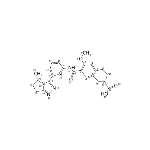 COc1cc2c(cc1C(=O)Nc1cccc(-c3nnc4n3[C@@H](C)CC4)n1)CN(C(=O)O)CC2